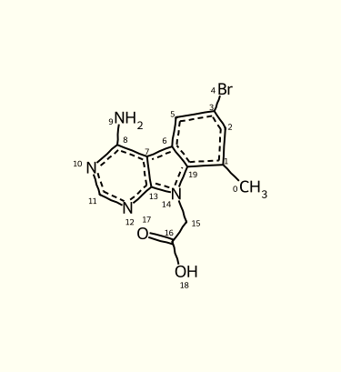 Cc1cc(Br)cc2c3c(N)ncnc3n(CC(=O)O)c12